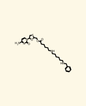 Nc1ccn(C2CSC(COC(=O)CCCCCNCCCCCCNCc3ccccc3)O2)c(=O)n1